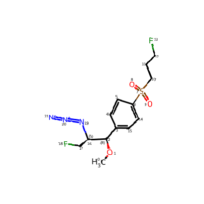 CO[C@H](c1ccc(S(=O)(=O)CCCF)cc1)[C@@H](CF)N=[N+]=[N-]